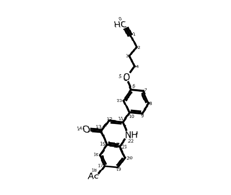 C#CCCCOc1cccc(-c2cc(=O)c3cc(C(C)=O)ccc3[nH]2)c1